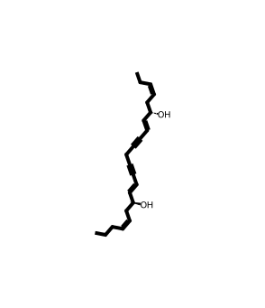 CC/C=C\C[C@H](O)/C=C/C#CCC#C/C=C/[C@@H](O)C/C=C\CCC